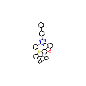 c1ccc(-c2ccc(-c3nc(-c4ccccc4)nc(-c4cccc5oc6cc7c(cc6c45)Sc4ccccc4C74c5ccccc5-c5ccccc54)n3)cc2)cc1